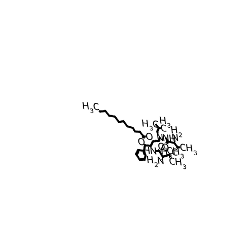 CCCCCCCCCCCC(=O)OC(CN(CC(C)C)NC(=O)[C@@H](N)C(C)C)C(Cc1ccccc1)NC(=O)[C@@H](N)C(C)C